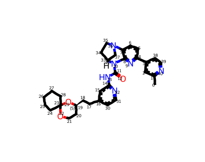 Cc1cc(-c2ccc3c(n2)N(C(=O)Nc2cc(CC[C@H]4CCOC5(CCCCC5)O4)ccn2)[C@H]2CCN3C2)ccn1